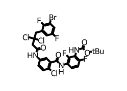 CC(C)(C)OC(=O)Nc1c(F)ccc(NC(=O)c2cc(NC(=O)CC(Cl)(Cl)Cc3cc(F)cc(Br)c3F)ccc2Cl)c1F